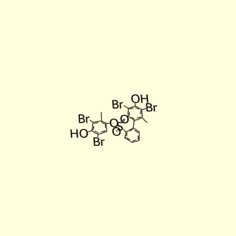 Cc1c(OS(=O)(=O)c2ccccc2-c2cc(Br)c(O)c(Br)c2C)cc(Br)c(O)c1Br